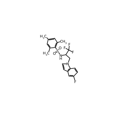 Cc1cc(C)c(S(=O)(=O)NC(Cn2ccc3cc(F)ccc32)C(F)(F)F)c(C)c1